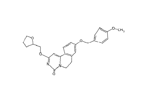 COc1ccc(COc2ccc3c(c2)CCn2c-3cc(OCC3CCCO3)nc2=O)cc1